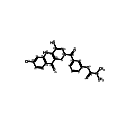 CN(C)C(=O)Oc1cccc(C(=O)N2Cc3c([nH]c4cc(Cl)ccc4c3=O)C(O)=N2)c1